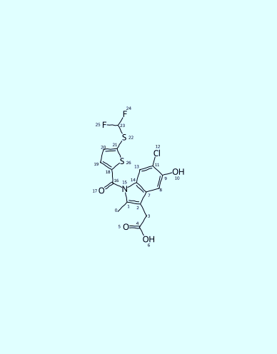 Cc1c(CC(=O)O)c2cc(O)c(Cl)cc2n1C(=O)c1ccc(SC(F)F)s1